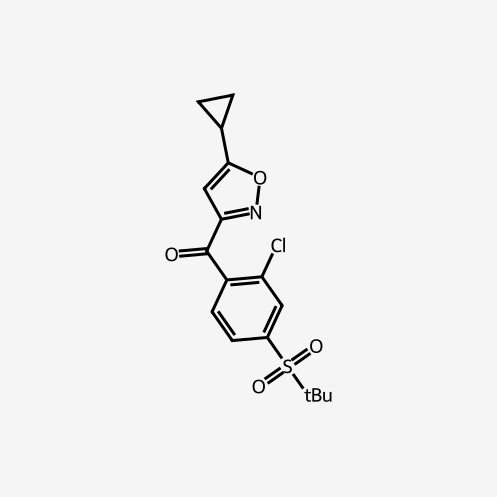 CC(C)(C)S(=O)(=O)c1ccc(C(=O)c2cc(C3CC3)on2)c(Cl)c1